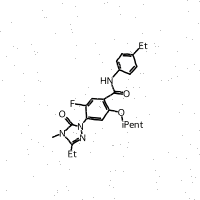 CCCC(C)Oc1cc(-n2nc(CC)n(C)c2=O)c(F)cc1C(=O)Nc1ccc(CC)cc1